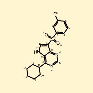 O=S(=O)(c1cccc(F)c1)c1c[nH]c2c(C3CCCCC3)ncnc12